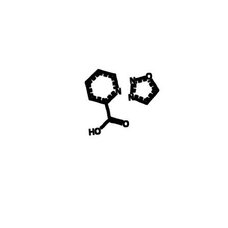 O=C(O)c1ccccn1.c1conn1